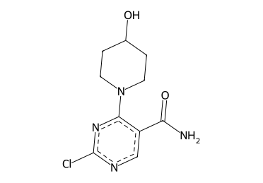 NC(=O)c1cnc(Cl)nc1N1CCC(O)CC1